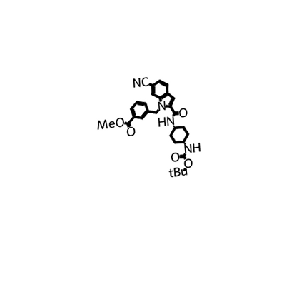 COC(=O)c1cccc(Cn2c(C(=O)N[C@H]3CC[C@H](NC(=O)OC(C)(C)C)CC3)cc3ccc(C#N)cc32)c1